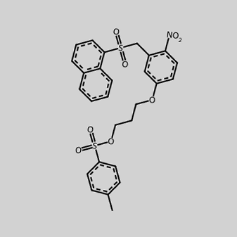 Cc1ccc(S(=O)(=O)OCCCOc2ccc([N+](=O)[O-])c(CS(=O)(=O)c3cccc4ccccc34)c2)cc1